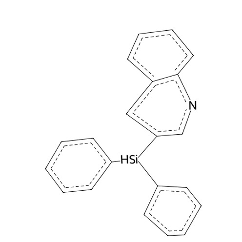 c1ccc([SiH](c2ccccc2)c2cnc3ccccc3c2)cc1